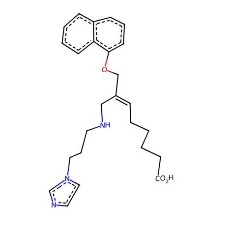 O=C(O)CCCC/C=C(\CNCCCn1ccnc1)COc1cccc2ccccc12